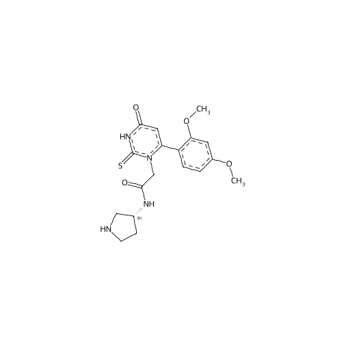 COc1ccc(-c2cc(=O)[nH]c(=S)n2CC(=O)N[C@@H]2CCNC2)c(OC)c1